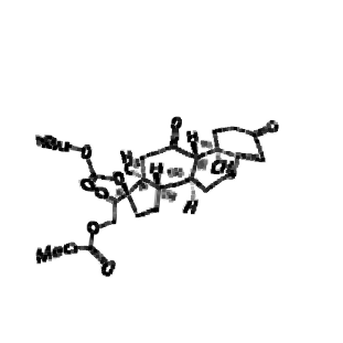 CCCCOC(=O)O[C@]1(C(=O)COC(=O)OC)CC[C@H]2[C@@H]3CCC4=CC(=O)CC[C@]4(C)[C@H]3C(=O)C[C@@]21C